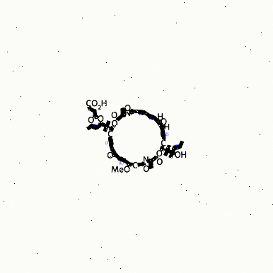 C/C=C/[C@H](OC(=O)CCC(=O)O)C(C)(C)[C@@H]1C/C=C\C2OC2/C=C/[C@H](OC)Cc2nc(co2)C(=O)O[C@H](C(C)(C)C(C)(O)/C=C/C)C/C=C\[C@H]2O[C@H]2/C=C/C=C\c2nc(co2)C(=O)O1